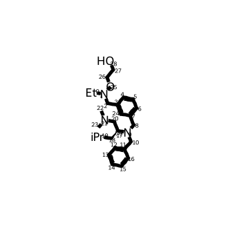 CCN(Cc1cccc(CN(Cc2ccccc2)[C@@H](CC(C)C)CN(C)C)c1)OCCO